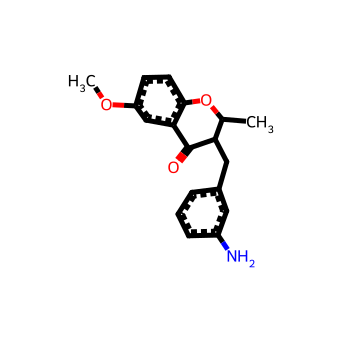 COc1ccc2c(c1)C(=O)C(Cc1cccc(N)c1)C(C)O2